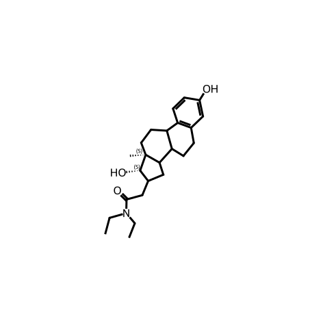 CCN(CC)C(=O)CC1CC2C3CCc4cc(O)ccc4C3CC[C@]2(C)[C@H]1O